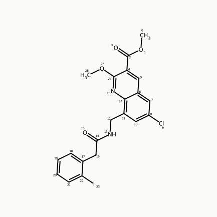 COC(=O)c1cc2cc(Cl)cc(CNC(=O)Cc3ccccc3I)c2nc1OC